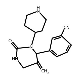 C=C1CNC(=O)N(C2CCNCC2)C1c1cccc(C#N)c1